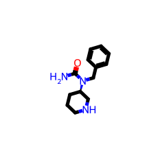 NC(=O)N(Cc1ccccc1)[C@@H]1CCCNC1